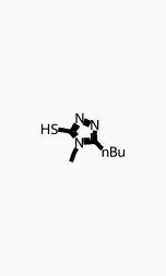 CCCCc1nnc(S)n1C